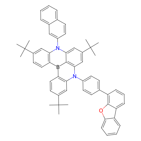 CC(C)(C)c1ccc2c(c1)N(c1ccc(-c3cccc4c3oc3ccccc34)cc1)c1cc(C(C)(C)C)cc3c1B2c1ccc(C(C)(C)C)cc1N3c1ccc2ccccc2c1